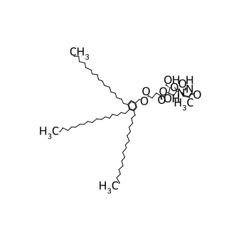 CCCCCCCCCCCCCCCCCCc1cc(COC(=O)CCC(=O)O[C@]2(O)C[C@H](n3cc(C)c(=O)[nH]c3=O)O[C@@H]2CO)cc(CCCCCCCCCCCCCCCCCC)c1CCCCCCCCCCCCCCCCCC